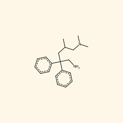 CC(CN(C)C)CC(CN)(c1ccccc1)c1ccccc1